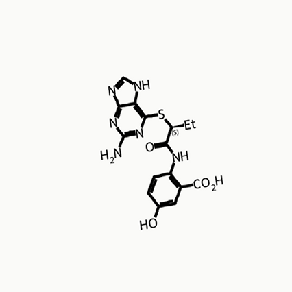 CC[C@H](Sc1nc(N)nc2nc[nH]c12)C(=O)Nc1ccc(O)cc1C(=O)O